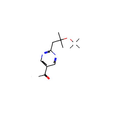 CC[Si](CC)(CC)OC(C)(C)Cc1ncc(C(=O)OC)cn1